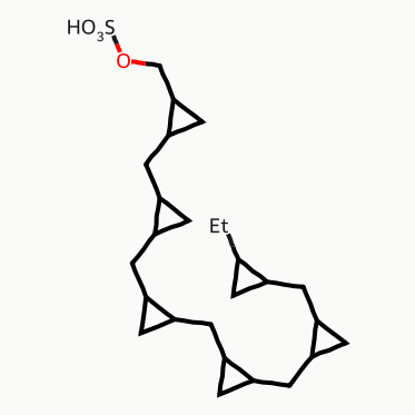 CCC1CC1CC1CC1CC1CC1CC1CC1CC1CC1CC1CC1COS(=O)(=O)O